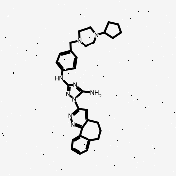 Nc1nc(Nc2ccc(CN3CCN(C4CCCC4)CC3)cc2)nn1-c1cc2c(nn1)-c1ccccc1CCC2